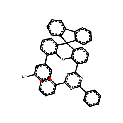 N#Cc1cccc(-c2cccc3c2Sc2c(-c4nc(-c5ccccc5)nc(-c5ccccc5)n4)cccc2C32c3ccccc3-c3ccccc32)c1